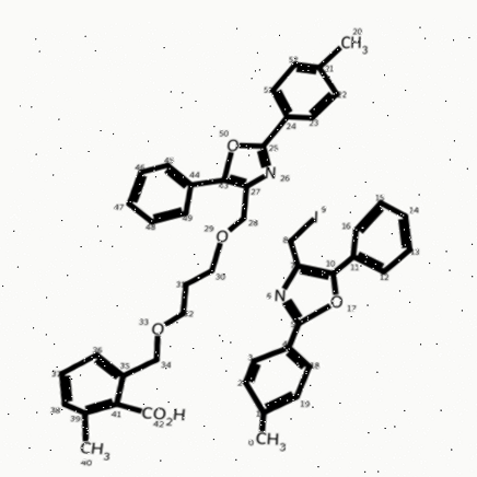 Cc1ccc(-c2nc(CI)c(-c3ccccc3)o2)cc1.Cc1ccc(-c2nc(COCCCOCc3cccc(C)c3C(=O)O)c(-c3ccccc3)o2)cc1